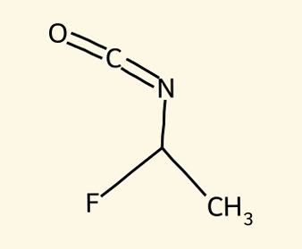 CC(F)N=C=O